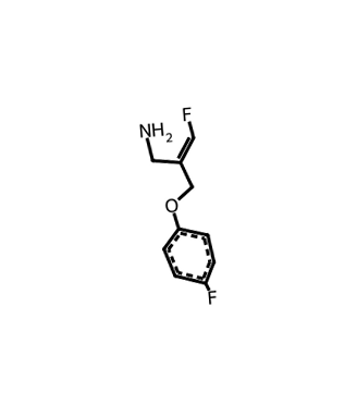 NC/C(=C\F)COc1ccc(F)cc1